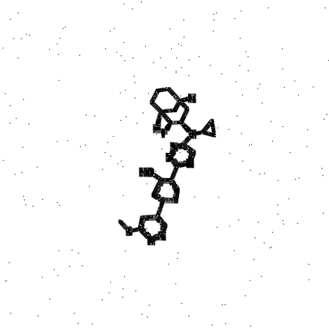 CSc1cc(-c2ccc(-c3ncc(N(C4CC4)[C@@H]4C[C@H]5CCC[C@H](C5)[C@@H]4F)nn3)c(O)c2)cnn1